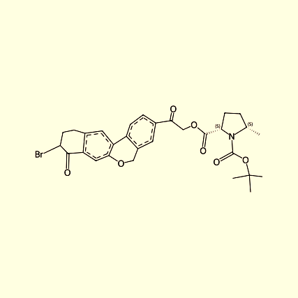 C[C@H]1CC[C@@H](C(=O)OCC(=O)c2ccc3c(c2)COc2cc4c(cc2-3)CCC(Br)C4=O)N1C(=O)OC(C)(C)C